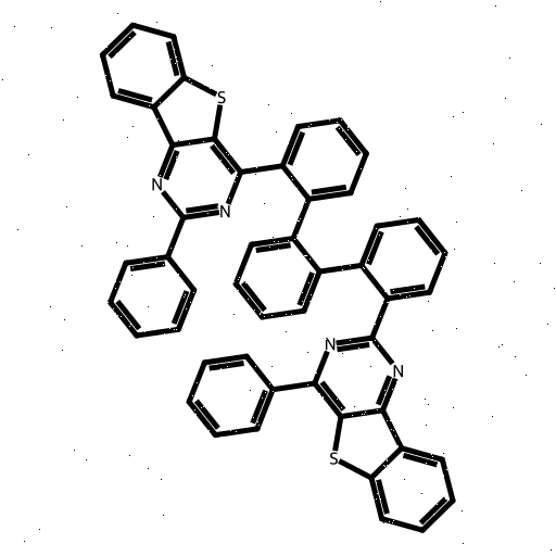 c1ccc(-c2nc(-c3ccccc3-c3ccccc3-c3ccccc3-c3nc(-c4ccccc4)c4sc5ccccc5c4n3)c3sc4ccccc4c3n2)cc1